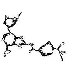 COc1ncc(-c2cnn(C)c2)c2sc(NC(=O)c3ccc(C(=O)N(C)C)cc3)nc12